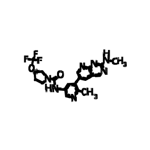 CNc1ncc2cc(-c3cc(NC(=O)N4CC[C@H](OC(F)(F)F)C4)cnc3C)cnc2n1